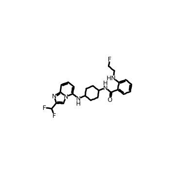 O=C(NC1CCC(Nc2cccc3nc(C(F)F)cn23)CC1)c1ccccc1NCCF